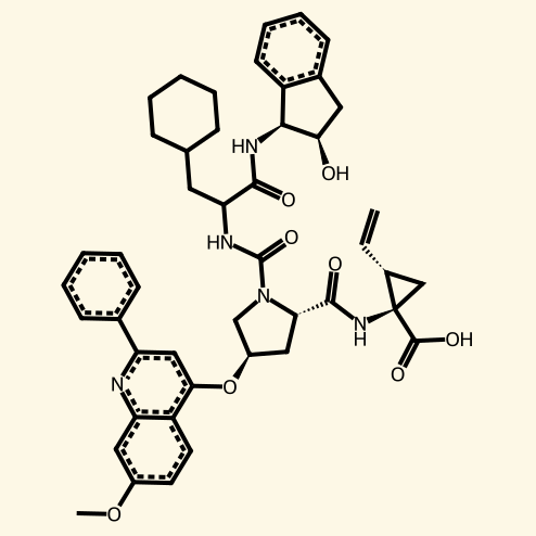 C=C[C@@H]1C[C@]1(NC(=O)[C@@H]1C[C@@H](Oc2cc(-c3ccccc3)nc3cc(OC)ccc23)CN1C(=O)NC(CC1CCCCC1)C(=O)N[C@H]1c2ccccc2C[C@H]1O)C(=O)O